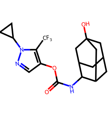 O=C(NC1C2CC3CC1CC(O)(C3)C2)Oc1cnn(C2CC2)c1C(F)(F)F